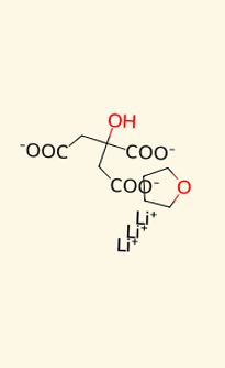 C1CCOC1.O=C([O-])CC(O)(CC(=O)[O-])C(=O)[O-].[Li+].[Li+].[Li+]